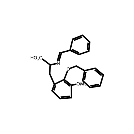 COc1cccc(CC(N=Cc2ccccc2)C(=O)O)c1OCc1ccccc1